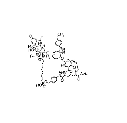 CCc1ccc(-n2nnc3c2CCCCCC3OCC(=O)N[C@H](C(=O)N[C@@H](CCCNC(N)=O)C(=O)Nc2ccc(COP(=O)(O)CCCCCCCCC(=O)O[C@]3(C(=O)SCF)[C@H](C)C[C@H]4[C@@H]5C[C@H](F)C6=CC(=O)C=C[C@]6(C)[C@@]5(F)[C@@H](O)C[C@@]43C)cc2)C(C)C)cc1